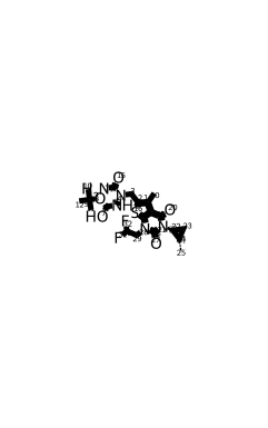 Cc1c(CN(NC(O)OC(C)(C)C)C(N)=O)sc2c1c(=O)n([C@H]1C[C@@H]1C)c(=O)n2CC(F)F